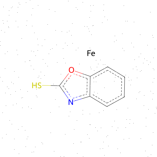 Sc1nc2ccccc2o1.[Fe]